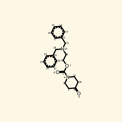 O=C1CCN(C(=O)OCCN(Cc2ccccc2)Cc2ccccc2)CC1